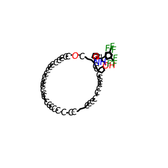 C[C@@](CCO)(C(=O)NC1(c2ccccc2)CCCCCOCCCCCCCCCCCCCCCCCCCCCCCCCCCCCCCCCCCCCCCCCCC2(CCCC2)CC1)c1cc(C(F)(F)F)cc(C(F)(F)F)c1